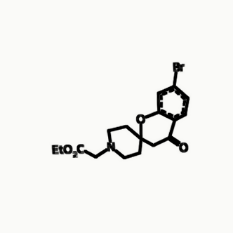 CCOC(=O)CN1CCC2(CC1)CC(=O)c1ccc(Br)cc1O2